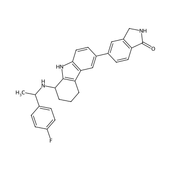 CC(NC1CCCc2c1[nH]c1ccc(-c3ccc4c(c3)CNC4=O)cc21)c1ccc(F)cc1